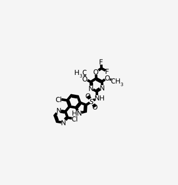 COc1nc(NS(=O)(=O)c2c[nH]c3c(-c4nccnc4Cl)c(Cl)ccc23)nc(OC)c1OC(F)F